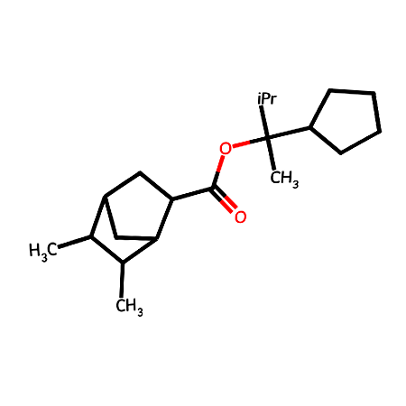 CC1C2CC(C(=O)OC(C)(C(C)C)C3CCCC3)C(C2)C1C